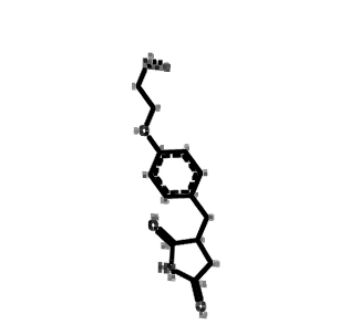 CNCCOc1ccc(CC2CC(=O)NC2=O)cc1